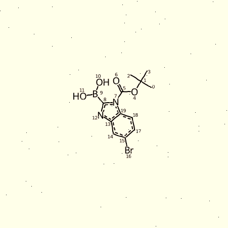 CC(C)(C)OC(=O)n1c(B(O)O)nc2cc(Br)ccc21